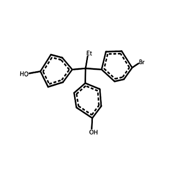 CCC(c1ccc(O)cc1)(c1ccc(O)cc1)c1ccc(Br)cc1